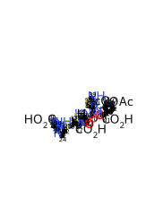 CC(=O)Oc1ccc([C@@H](O/N=C(\C(=O)N[C@@H]2C(=O)N3C(C(=O)O)=C(CSC4=CC(C)=NC5=CN(C(=O)O)NN54)CS[C@H]23)c2csc(N)n2)C(=O)O)cc1OC(C)=O